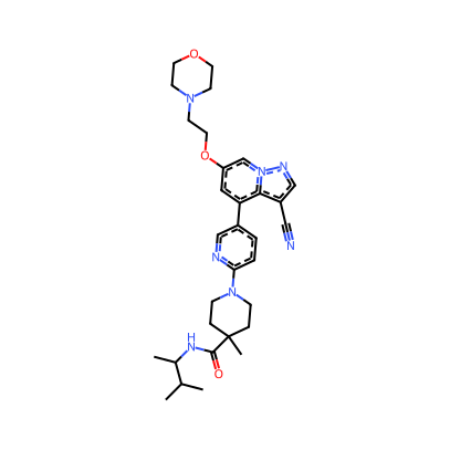 CC(C)C(C)NC(=O)C1(C)CCN(c2ccc(-c3cc(OCCN4CCOCC4)cn4ncc(C#N)c34)cn2)CC1